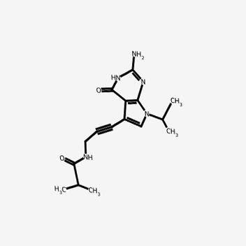 CC(C)C(=O)NCC#Cc1cn(C(C)C)c2nc(N)[nH]c(=O)c12